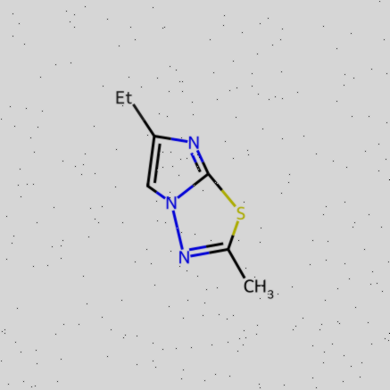 CCc1cn2nc(C)sc2n1